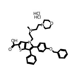 CN(CCN1CCOCC1)CCn1c(-c2ccc(OCc3ccccc3)cc2)c(-c2ccccc2)c2sc(C(=O)O)cc21.Cl.Cl